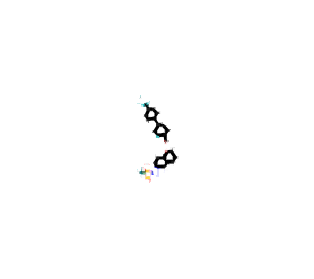 O=S(=O)(Nc1ccc2c(OCc3ccc(-c4ccc(C(F)(F)F)cc4)cc3F)cccc2c1)C(F)(F)F